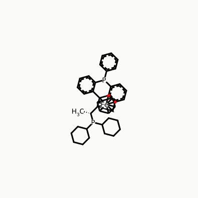 C[C@@H](P(C1CCCCC1)C1CCCCC1)[C@]12[CH]3[CH]4[CH]5[C]1(c1ccccc1P(c1ccccc1)c1ccccc1)[Fe]45321678[CH]2[CH]1[CH]6[CH]7[CH]28